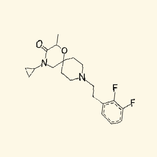 CC1OC2(CCN(CCc3cccc(F)c3F)CC2)CN(C2CC2)C1=O